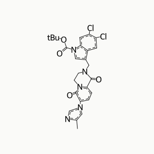 Cc1cn(-c2ccc3n(c2=O)CCN(Cc2cn(C(=O)OC(C)(C)C)c4cc(Cl)c(Cl)cc24)C3=O)cn1